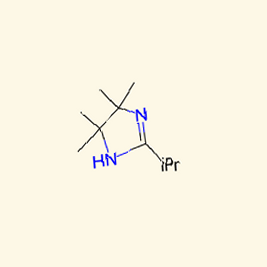 CC(C)C1=NC(C)(C)C(C)(C)N1